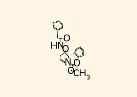 COC(=O)N1C=CC[C@@H](ONC(=O)Cc2ccccc2)[C@@H]1c1ccccc1